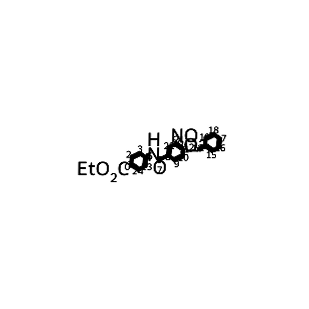 CCOC(=O)c1ccc(NC(=O)c2ccc(OCc3ccccc3)c([N+](=O)[O-])c2)cc1